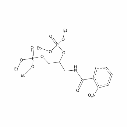 CCOP(=O)(OCC)OCC(CNC(=O)c1ccccc1[N+](=O)[O-])OP(=O)(OCC)OCC